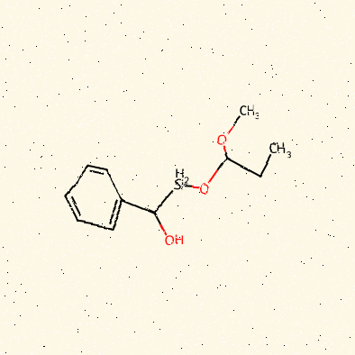 CCC(OC)O[SiH2]C(O)c1ccccc1